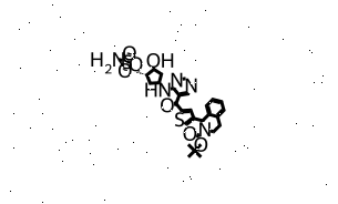 CC(C)(C)OC(=O)N1CCc2ccccc2C1c1csc(C(=O)c2cncnc2N[C@@H]2C[C@H](COS(N)(=O)=O)[C@@H](O)C2)c1